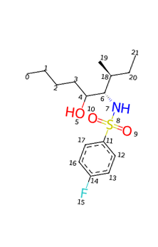 CCCCC(O)[C@@H](NS(=O)(=O)c1ccc(F)cc1)[C@@H](C)CC